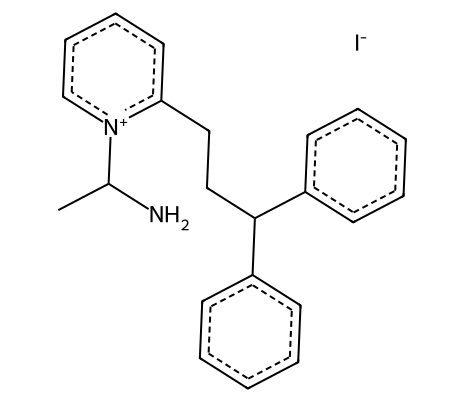 CC(N)[n+]1ccccc1CCC(c1ccccc1)c1ccccc1.[I-]